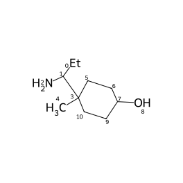 CCC(N)C1(C)CCC(O)CC1